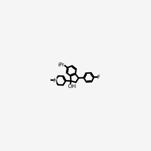 CC(C)c1ccc2c(c1)C(O)(C1=CCN(C)CC1)CC2c1ccc(F)cc1